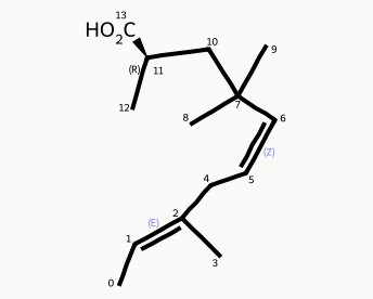 C/C=C(\C)C/C=C\C(C)(C)C[C@@H](C)C(=O)O